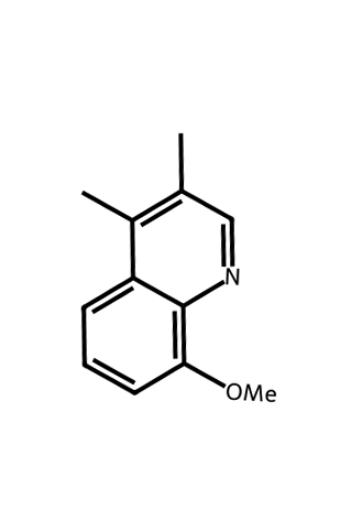 COc1cccc2c(C)c(C)cnc12